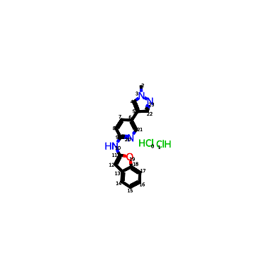 Cl.Cl.Cn1cc(-c2ccc(Nc3cc4ccccc4o3)nc2)cn1